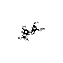 CCCCNc1nc(SCCC)nc2c1nnn2[C@@H]1C[C@H](CO)[C@H]2OC(C)(C)O[C@H]21